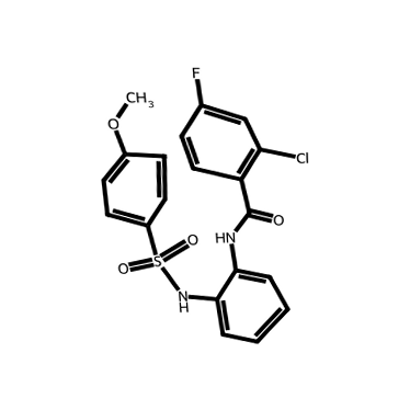 COc1ccc(S(=O)(=O)Nc2ccccc2NC(=O)c2ccc(F)cc2Cl)cc1